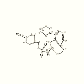 O=S(=O)(CCc1ccc(Cl)cc1)N[C@@H]1CCc2cccc(N3CCNCC3)c2C1